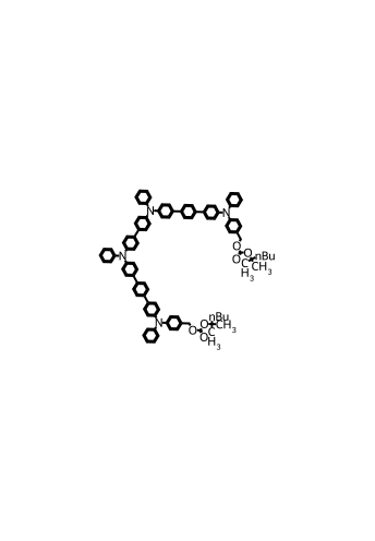 CCCCC(C)(C)OC(=O)OCc1ccc(N(c2ccccc2)c2ccc(-c3ccc(-c4ccc(N(c5ccccc5)c5ccc(-c6ccc(N(c7ccccc7)c7ccc(-c8ccc(-c9ccc(N(c%10ccccc%10)c%10ccc(COC(=O)OC(C)(C)CCCC)cc%10)cc9)cc8)cc7)cc6)cc5)cc4)cc3)cc2)cc1